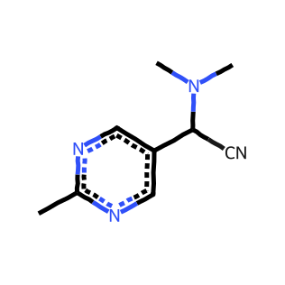 Cc1ncc(C(C#N)N(C)C)cn1